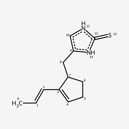 CC=CC1=CCCC1Cc1c[nH]c(=S)[nH]1